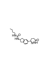 CCCCNC(=O)NC1Cc2ccc(C3=NNC(=O)CC3)cc2C1